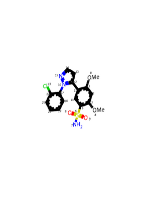 COc1cc(OC)c(S(N)(=O)=O)cc1-c1ccnn1-c1ccccc1Cl